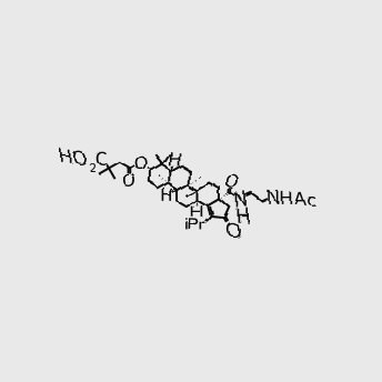 CC(=O)NCCNC(=O)[C@@]12CC[C@]3(C)[C@H](CC[C@@H]4[C@@]5(C)CC[C@H](OC(=O)CC(C)(C)C(=O)O)C(C)(C)[C@@H]5CC[C@]43C)C1=C(C(C)C)C(=O)C2